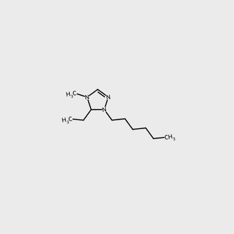 CCCCCCN1N=CN(C)C1CC